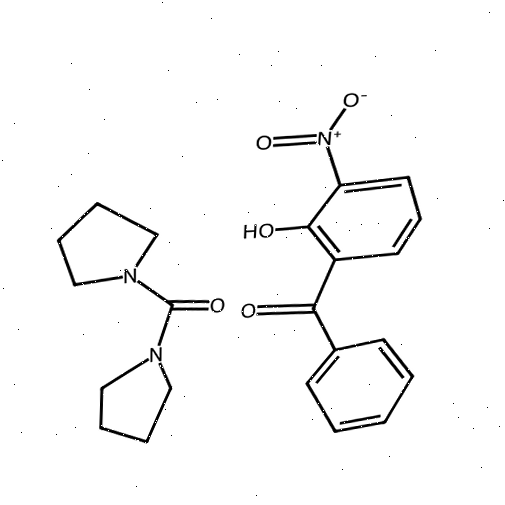 O=C(N1CCCC1)N1CCCC1.O=C(c1ccccc1)c1cccc([N+](=O)[O-])c1O